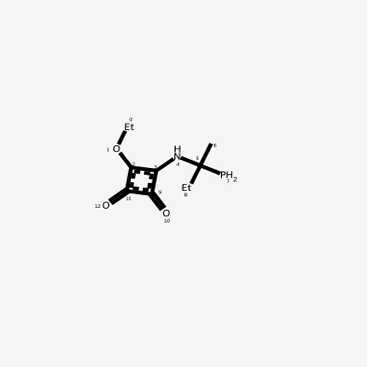 CCOc1c(NC(C)(P)CC)c(=O)c1=O